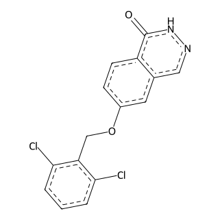 O=c1[nH]ncc2cc(OCc3c(Cl)cccc3Cl)ccc12